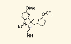 CCN1/C(=C\C=N)C(C)(Cc2cccc(OC(F)(F)F)c2)c2cc(OC)ccc21